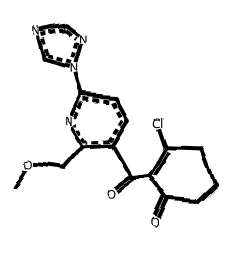 COCc1nc(-n2cncn2)ccc1C(=O)C1=C(Cl)CCCC1=O